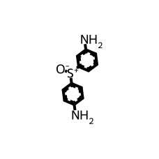 Nc1ccc([S+]([O-])c2cccc(N)c2)cc1